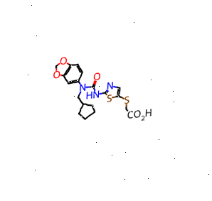 O=C(O)CSc1cnc(NC(=O)N(CC2CCCC2)c2ccc3c(c2)OCO3)s1